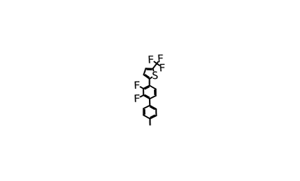 Cc1ccc(-c2ccc(-c3ccc(C(F)(F)F)s3)c(F)c2F)cc1